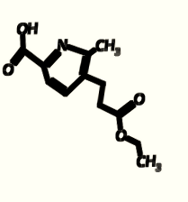 CCOC(=O)CCc1ccc(C(=O)O)nc1C